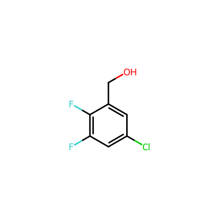 OCc1cc(Cl)cc(F)c1F